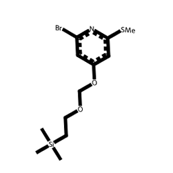 CSc1cc(OCOCC[Si](C)(C)C)cc(Br)n1